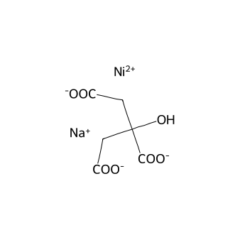 O=C([O-])CC(O)(CC(=O)[O-])C(=O)[O-].[Na+].[Ni+2]